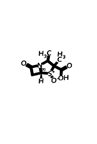 CC1N2C(=O)C[C@H]2[S+]([O-])C1(C)C(=O)O